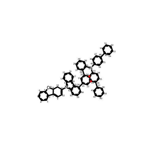 C1=C2c3ccccc3OC2CC(n2c3ccccc3c3c(-c4cccc(-c5ccccc5N(c5ccc(-c6ccccc6)cc5)c5ccc(-c6ccccc6)cc5)c4)cccc32)=C1